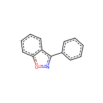 [c]1ccc2c(-c3ccccc3)noc2c1